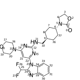 O=C1OCCN1[C@H]1CC[C@H](CNc2nc(N3CCOCC3)cc(-n3c(C(F)F)nc4ccccc43)n2)CC1